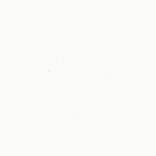 O=C1CCCCCCCC2CC2CCCCC1